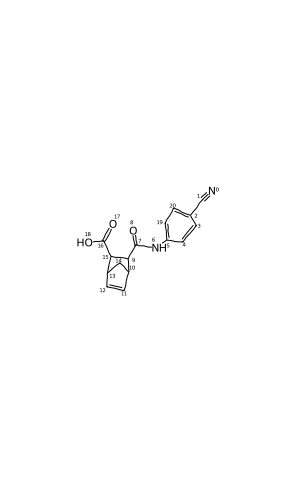 N#Cc1ccc(NC(=O)C2C3C=CC(C3)C2C(=O)O)cc1